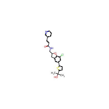 CC(C)(O)c1ccc(-c2cc(Cl)c3c(c2)CC(CNC(=O)C=Cc2cccnc2)O3)s1